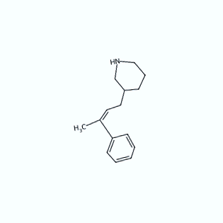 C/C(=C/CC1CCCNC1)c1ccccc1